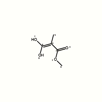 COC(=O)C(C)=C(O)O